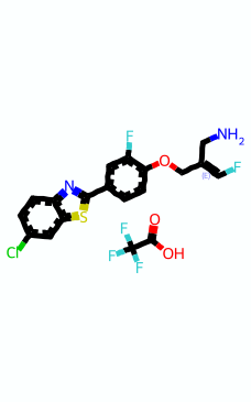 NC/C(=C\F)COc1ccc(-c2nc3ccc(Cl)cc3s2)cc1F.O=C(O)C(F)(F)F